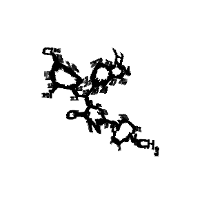 CN1CCN(C2=NC(=O)C(=C(Cc3ccc(Cl)cc3I)c3ccc4[nH]ncc4c3)S2)CC1